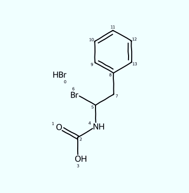 Br.O=C(O)NC(Br)Cc1ccccc1